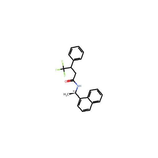 C[C@@H](NC(=O)CC(c1ccccc1)C(F)(F)F)c1cccc2ccccc12